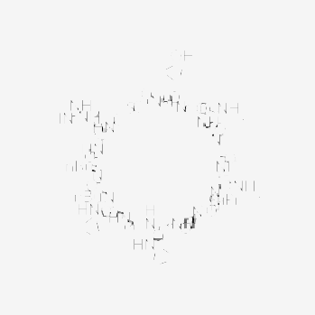 CCCC[C@H]1C(=O)N(C)[C@@H](CCCC)C(=O)N[C@@H](CCCNC(=N)N)C(=O)NCCSCC(=O)N[C@@H](CCc2ccc(O)cc2)C(=O)N(C)CC(=O)N[C@@H](CC(N)=O)C(=O)N2CCCC2C(=O)N[C@@H](CCN)C(=O)N[C@@H](CC(C)C)C(=O)N2CCC[C@H]2C(=O)N[C@@H](Cc2c[nH]c3ccccc23)C(=O)NCC(=O)N[C@@H](Cc2c[nH]c3ccccc23)C(=O)N1C